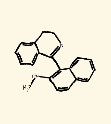 PPc1ccc2ccccc2c1C1=NCCc2ccccc21